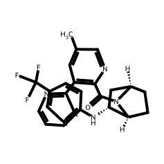 Cc1cnc(C(=O)N2[C@@H]3CC[C@H]2[C@H](Nc2ccc(C(F)(F)F)cn2)C3)c(-c2ncccn2)c1